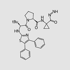 CC(C)(C)[C@H](Nc1nc(-c2ccccc2)c(-c2ccccc2)s1)C(=O)N1CCC[C@H]1C(=O)NC1(C(=O)N=N)CC1